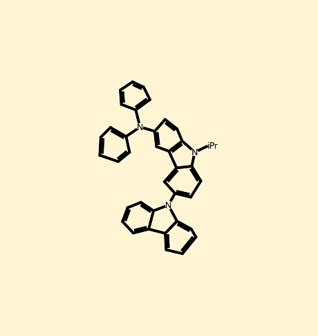 CC(C)n1c2ccc(N(c3ccccc3)c3ccccc3)cc2c2cc(-n3c4ccccc4c4ccccc43)ccc21